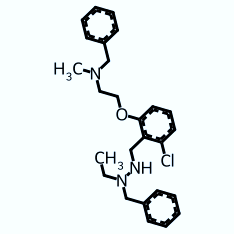 CCN(Cc1ccccc1)NCc1c(Cl)cccc1OCCN(C)Cc1ccccc1